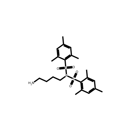 Cc1cc(C)c(S(=O)(=O)N(CCCCN)S(=O)(=O)c2c(C)cc(C)cc2C)c(C)c1